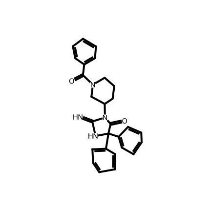 N=C1NC(c2ccccc2)(c2ccccc2)C(=O)N1C1CCCN(C(=O)c2ccccc2)C1